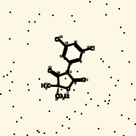 CCOC(=O)[C@@]1(C)OC(=O)N(c2cc(Cl)cc(Cl)c2)C1=O